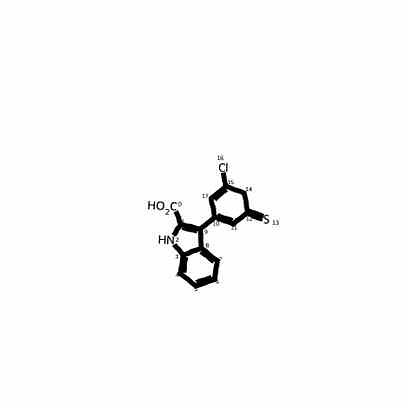 O=C(O)c1[nH]c2ccccc2c1C1=CC(=S)CC(Cl)=C1